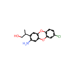 CC(CO)c1cc2c(cc1N)Oc1cc(Cl)ccc1O2